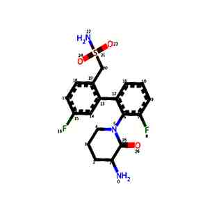 NC1CCCN(c2c(F)cccc2-c2cc(F)ccc2CS(N)(=O)=O)C1=O